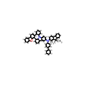 CC1(C)c2ccccc2-c2ccc(N(c3ccc(-c4ccccc4)cc3)c3ccc4c(c3)c3cccc5c3n4-c3ccccc3-c3ccc4c(oc6ccccc64)c3-5)cc21